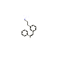 CC(=Cc1cccc(CCCN)c1)c1ccccc1